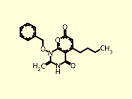 C=C1NC(=O)c2c(CCCC)cc(=O)oc2N1OCc1ccccc1